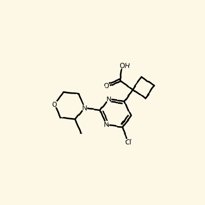 CC1COCCN1c1nc(Cl)cc(C2(C(=O)O)CCC2)n1